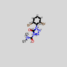 CCN(CC)C(=O)n1nnn(-c2c(Br)cccc2Br)c1=O